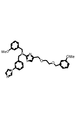 COc1cccc(COCCOCc2csc(N(Cc3cccc(OC)c3)Cc3cccc(-n4ccnc4)c3)n2)c1